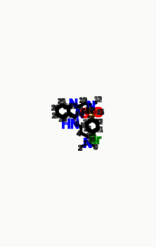 CN(C)CCCNc1nc(CN(C)S(=O)(=O)c2ccc(Br)cc2)nc2ccccc12